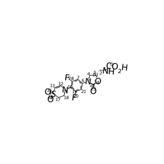 O=C(O)NC[C@H]1CN(c2cc(F)c(N3C=CS(=O)(=O)CC3)c(F)c2)C(=O)O1